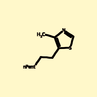 CCCCCCCc1scnc1C